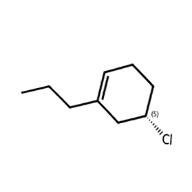 CCCC1=CCC[C@H](Cl)C1